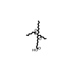 CCCCCCC(CCC(CCCCCCCC(=O)O)CC(=O)CCC)OC(=O)CCCCC